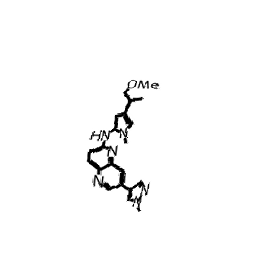 COCC(C)c1cc(Nc2ccc3ncc(-c4cnn(C)c4)cc3n2)n(C)c1